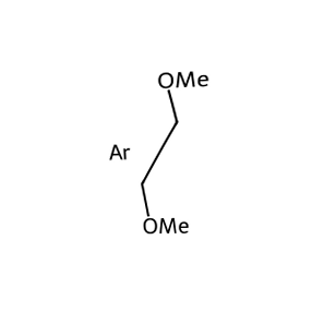 COCCOC.[Ar]